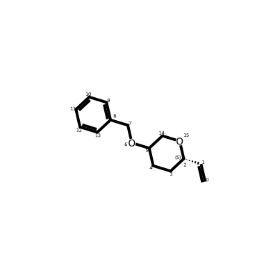 C=C[C@@H]1CCC(OCc2ccccc2)CO1